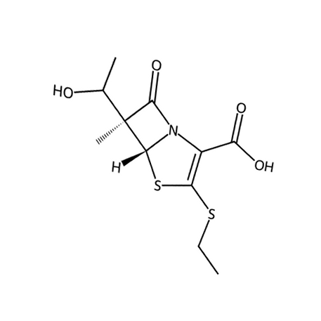 CCSC1=C(C(=O)O)N2C(=O)[C@](C)(C(C)O)[C@H]2S1